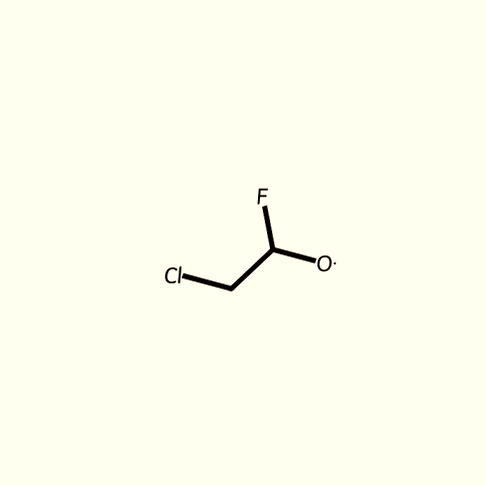 [O]C(F)CCl